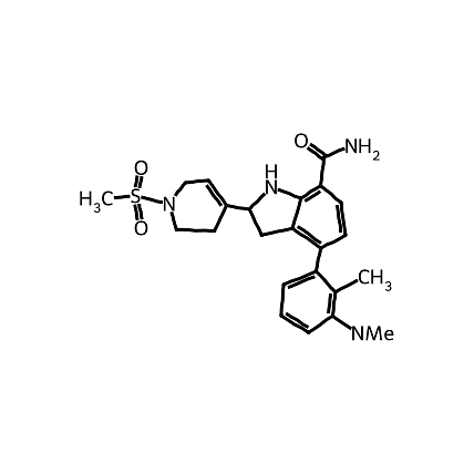 CNc1cccc(-c2ccc(C(N)=O)c3c2CC(C2=CCN(S(C)(=O)=O)CC2)N3)c1C